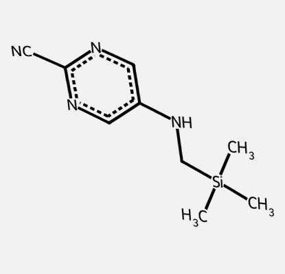 C[Si](C)(C)CNc1cnc(C#N)nc1